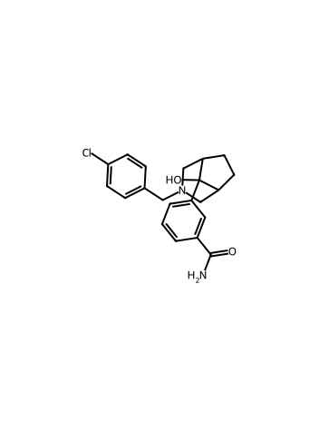 NC(=O)c1cccc(C2(O)C3CCC2CN(Cc2ccc(Cl)cc2)C3)c1